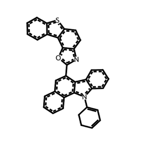 C1=CCCC(n2c3ccccc3c3c(-c4nc5ccc6sc7ccccc7c6c5o4)cc4ccccc4c32)=C1